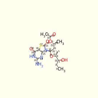 CC[C@H](O)[C@@H]1C[C@@H]([C@H](C)OC(C)=O)[C@H](n2c(=O)sc3c(=O)[nH]c(N)nc32)O1